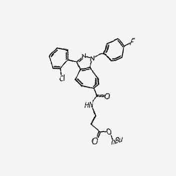 CCCCOC(=O)CCNC(=O)c1ccc2c(-c3ccccc3Cl)nn(-c3ccc(F)cc3)c2c1